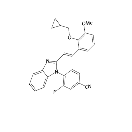 COc1cccc(/C=C/c2nc3ccccc3n2-c2ccc(C#N)cc2F)c1OCC1CC1